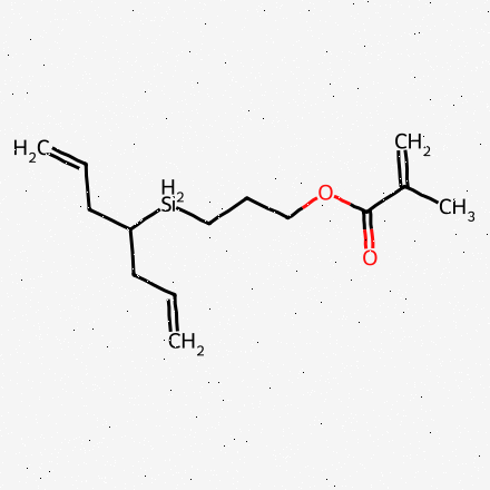 C=CCC(CC=C)[SiH2]CCCOC(=O)C(=C)C